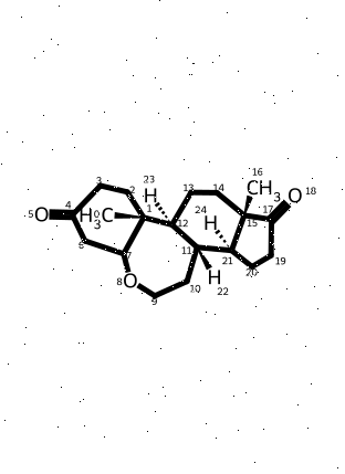 C[C@]12CCC(=O)CC1OCC[C@@H]1[C@@H]2CC[C@]2(C)C(=O)CC[C@@H]12